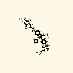 CCCS(=O)(=O)Nc1ccc(-c2c(N)c3ccc(OCCCN4C(=O)CN(C)C4=O)cc3n2C2CCC2)cc1